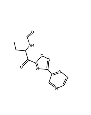 CCC(NC=O)C(=O)c1nc(-c2cnccn2)no1